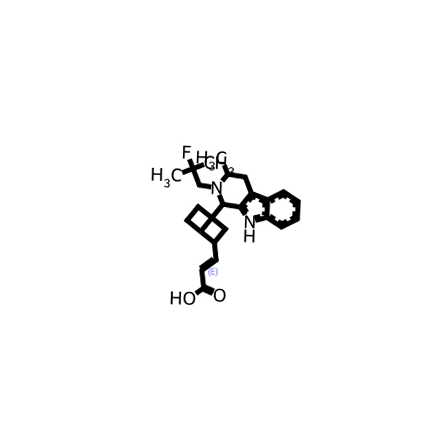 CC1Cc2c([nH]c3ccccc23)C(C23CCC2C(/C=C/C(=O)O)C3)N1CC(C)(C)F